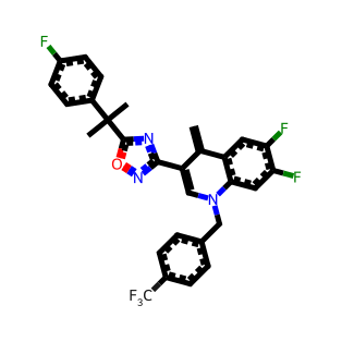 C=C1C(c2noc(C(C)(C)c3ccc(F)cc3)n2)=CN(Cc2ccc(C(F)(F)F)cc2)c2cc(F)c(F)cc21